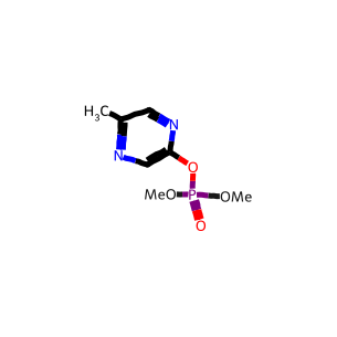 COP(=O)(OC)Oc1cnc(C)cn1